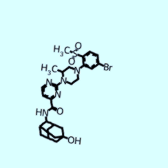 CC1CN(c2cc(Br)ccc2S(C)(=O)=O)CCN1c1nccc(C(=O)NC2C3CC4CC2CC(O)(C4)C3)n1